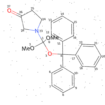 COC(OC)(OC(c1ccccc1)(c1ccccc1)c1ccccc1)N1CCC(=O)C1